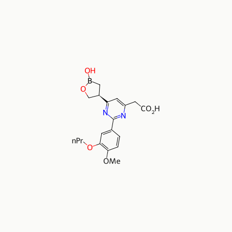 CCCOc1cc(-c2nc(CC(=O)O)cc([C@H]3COB(O)C3)n2)ccc1OC